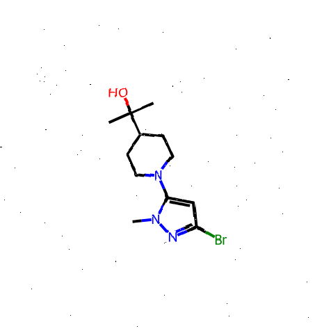 Cn1nc(Br)cc1N1CCC(C(C)(C)O)CC1